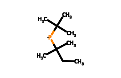 CCC(C)(C)[P]C(C)(C)C